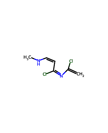 C=C(Cl)/N=C(Cl)\C=C/NC